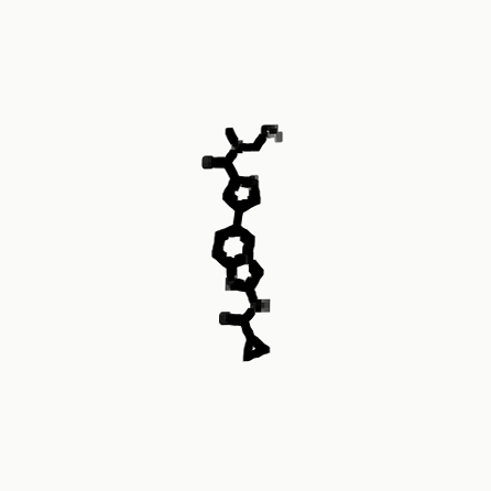 CN(CC(F)(F)F)C(=O)c1cc(-c2ccc3nc(NC(=O)C4CC4)cn3c2)cs1